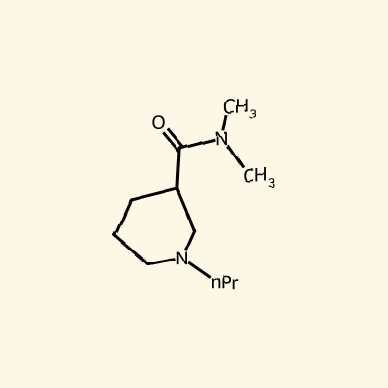 CCCN1CCCC(C(=O)N(C)C)C1